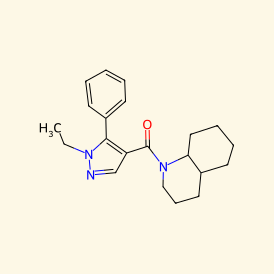 CCn1ncc(C(=O)N2CCCC3CCCCC32)c1-c1ccccc1